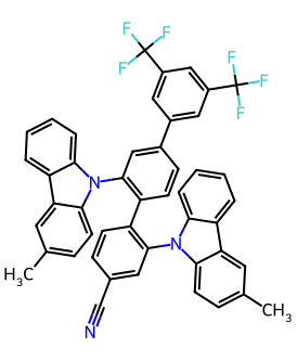 Cc1ccc2c(c1)c1ccccc1n2-c1cc(C#N)ccc1-c1ccc(-c2cc(C(F)(F)F)cc(C(F)(F)F)c2)cc1-n1c2ccccc2c2cc(C)ccc21